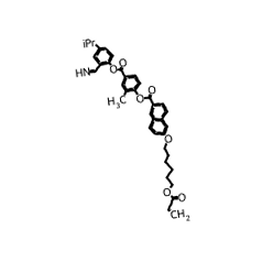 C=CC(=O)OCCCCCCOc1ccc2cc(C(=O)Oc3ccc(C(=O)Oc4ccc(C(C)C)cc4C=N)cc3C)ccc2c1